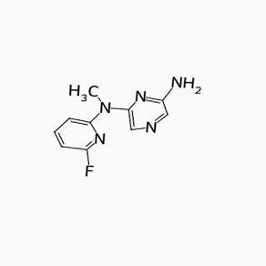 CN(c1cncc(N)n1)c1cccc(F)n1